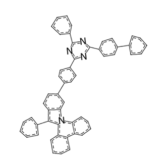 c1ccc(-c2ccc(-c3nc(-c4ccccc4)nc(-c4ccc(-c5ccc6c(-c7ccccc7)c7c8ccccc8c8ccccc8n7c6c5)cc4)n3)cc2)cc1